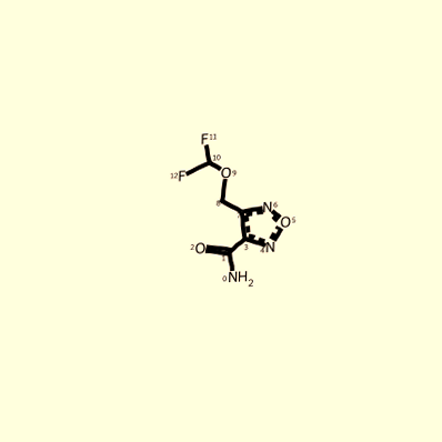 NC(=O)c1nonc1COC(F)F